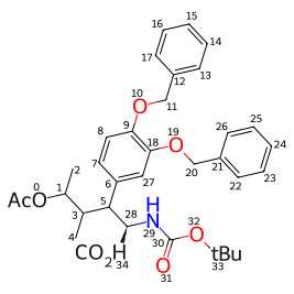 CC(=O)OC(C)C(C)C(c1ccc(OCc2ccccc2)c(OCc2ccccc2)c1)[C@@H](NC(=O)OC(C)(C)C)C(=O)O